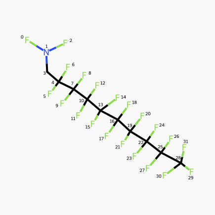 FN(F)CC(F)(F)C(F)(F)C(F)(F)C(F)(F)C(F)(F)C(F)(F)C(F)(F)C(F)(F)C(F)(F)F